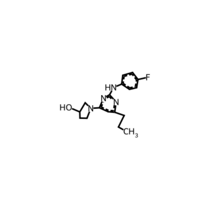 CCCc1cc(N2CCC(O)C2)nc(Nc2ccc(F)cc2)n1